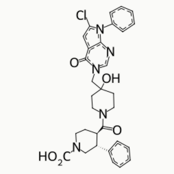 O=C(O)N1CC[C@@H](C(=O)N2CCC(O)(Cn3cnc4c(cc(Cl)n4-c4ccccc4)c3=O)CC2)[C@H](c2ccccc2)C1